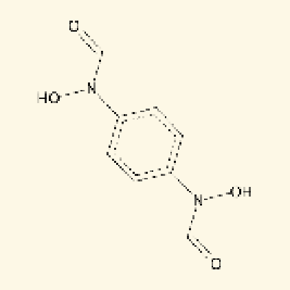 O=CN(O)c1ccc(N(O)C=O)cc1